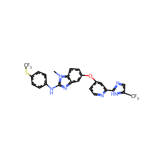 Cn1c(Nc2ccc(SC(F)(F)F)cc2)nc2cc(Oc3ccnc(-c4ncc(C(F)(F)F)[nH]4)c3)ccc21